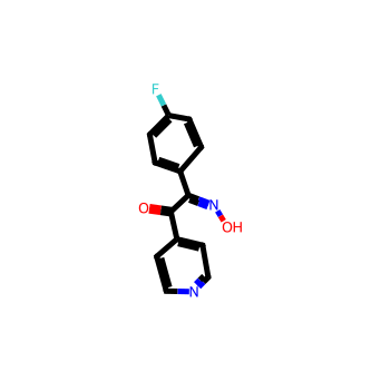 O=C(/C(=N\O)c1ccc(F)cc1)c1ccncc1